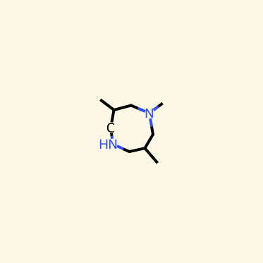 CC1CNCC(C)CN(C)C1